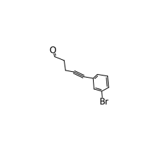 O=CCCC#Cc1cccc(Br)c1